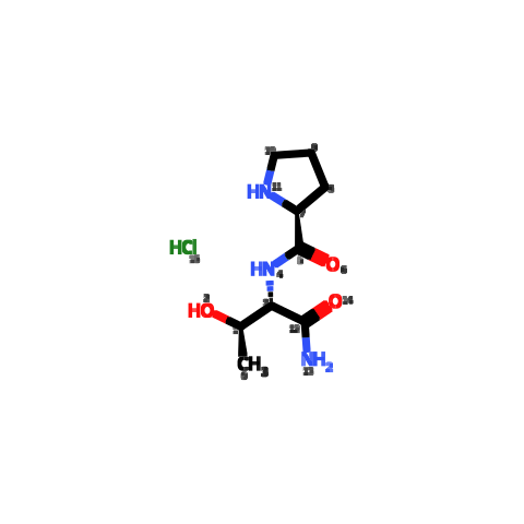 C[C@@H](O)[C@H](NC(=O)[C@@H]1CCCN1)C(N)=O.Cl